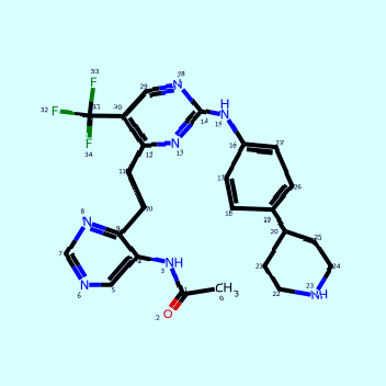 CC(=O)Nc1cncnc1CCc1nc(Nc2ccc(C3CCNCC3)cc2)ncc1C(F)(F)F